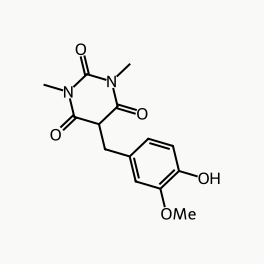 COc1cc(CC2C(=O)N(C)C(=O)N(C)C2=O)ccc1O